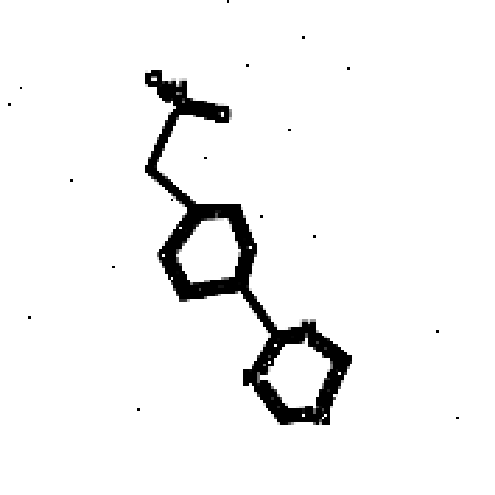 O=[SH](=O)Cc1ccc(-c2ncncn2)cc1